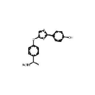 CC(=O)NC(C)c1ccc(Oc2cnc(-c3ccc(O)cc3)s2)cc1